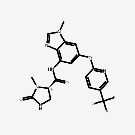 CN1C(=O)NC[C@@H]1C(=O)Nc1cc(Oc2ccc(C(F)(F)F)cn2)cc2c1ncn2C